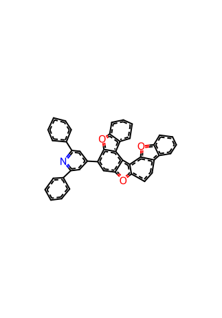 c1ccc(-c2cc(-c3cc4oc5ccc6c7ccccc7oc6c5c4c4c3oc3ccccc34)cc(-c3ccccc3)n2)cc1